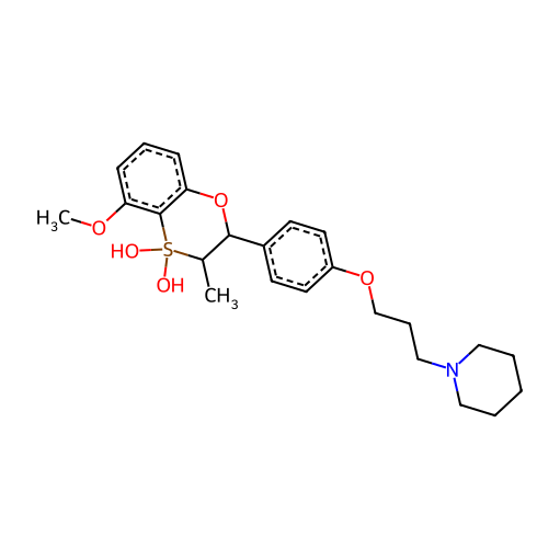 COc1cccc2c1S(O)(O)C(C)C(c1ccc(OCCCN3CCCCC3)cc1)O2